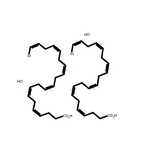 CC/C=C\C/C=C\C/C=C\C/C=C\C/C=C\C/C=C\CCC(=O)O.CC/C=C\C/C=C\C/C=C\C/C=C\C/C=C\C/C=C\CCC(=O)O.Cl.Cl